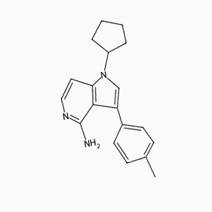 Cc1ccc(-c2cn(C3CCCC3)c3ccnc(N)c23)cc1